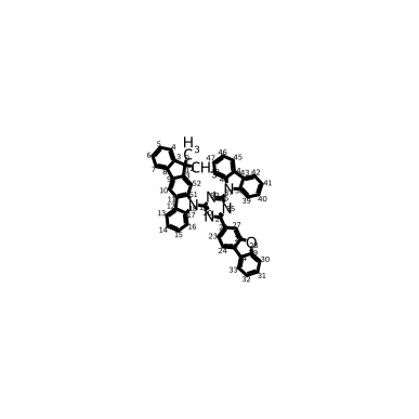 CC1(C)c2ccccc2-c2cc3c4ccccc4n(-c4nc(-c5ccc6c(c5)oc5ccccc56)nc(-n5c6ccccc6c6ccccc65)n4)c3cc21